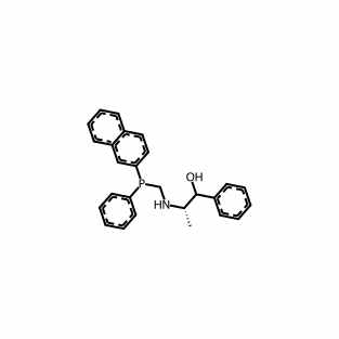 C[C@H](NCP(c1ccccc1)c1ccc2ccccc2c1)C(O)c1ccccc1